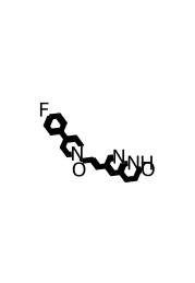 O=C1CCc2cc(C=CC(=O)N3CC=C(c4ccc(F)cc4)CC3)cnc2N1